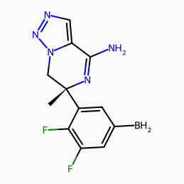 Bc1cc(F)c(F)c([C@]2(C)Cn3nncc3C(N)=N2)c1